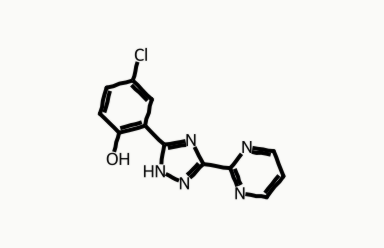 Oc1ccc(Cl)cc1-c1nc(-c2ncccn2)n[nH]1